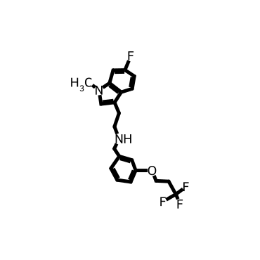 Cn1cc(CCNCc2cccc(OCCC(F)(F)F)c2)c2ccc(F)cc21